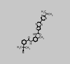 Cc1ccc(NC(=O)c2cccc(C(C)(C)C#N)c2)cc1NC(=O)c1cc2nc(-c3cnc(N(C)C)nc3)cnc2s1